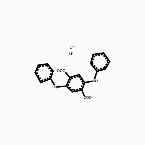 O=C([O-])c1cc(Nc2ccccc2)c(C(=O)[O-])cc1Nc1ccccc1.[Li+].[Li+]